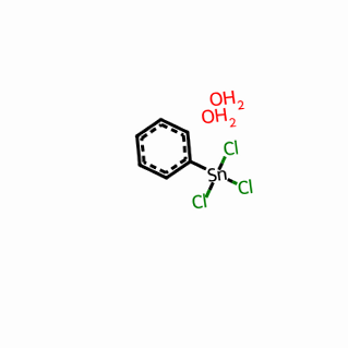 O.O.[Cl][Sn]([Cl])([Cl])[c]1ccccc1